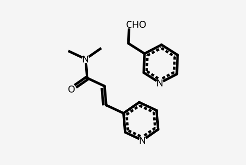 CN(C)C(=O)C=Cc1cccnc1.O=CCc1cccnc1